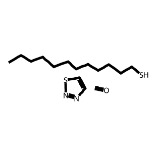 C=O.CCCCCCCCCCCCS.c1csnn1